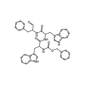 O=CC(Cc1ccccc1)NC(=O)C(Cc1c[nH]c2ccccc12)NC(=O)C(Cc1c[nH]c2ccccc12)NC(=O)OCc1ccccc1